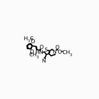 CCOC(=O)N1CCC2=C(C1)SC(NC(=O)/C=C/c1c(OC)cccc1OC)C2C#N